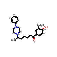 CCCCC(CCCCC(=O)c1ccc(O)c(C(=O)O)c1)N1CCN(c2ccccc2)CC1